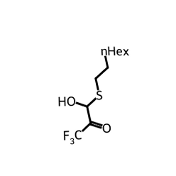 CCCCCCCCSC(O)C(=O)C(F)(F)F